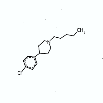 CCCCCN1CCC(c2ccc(Cl)cc2)CC1